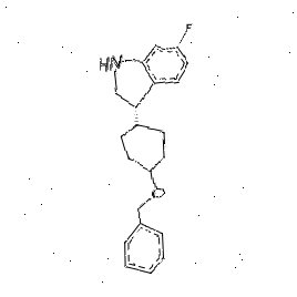 Fc1ccc2c(c1)NC[C@H]2C1CCC(OCc2ccccc2)CC1